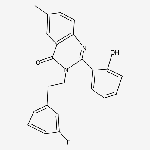 Cc1ccc2nc(-c3ccccc3O)n(CCc3cccc(F)c3)c(=O)c2c1